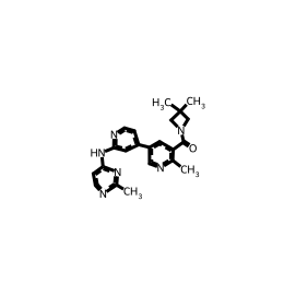 Cc1nccc(Nc2cc(-c3cnc(C)c(C(=O)N4CC(C)(C)C4)c3)ccn2)n1